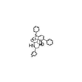 O=C1CC(c2ccsc2)NC(=O)C1C1(Cl)NC(c2ccccc2)=CC=C1Sc1ccccc1